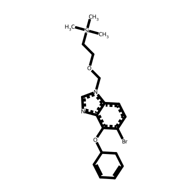 C[Si](C)(C)CCOCn1cnc2c(OC3C=CC=CC3)c(Br)ccc21